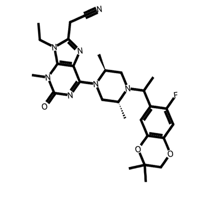 CCn1c(CC#N)nc2c(N3C[C@@H](C)N(C(C)c4cc5c(cc4F)OCC(C)(C)O5)C[C@@H]3C)nc(=O)n(C)c21